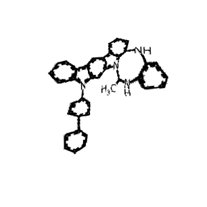 CC1Nc2ccccc2Nc2cccc3c4cc5c6ccccc6n(-c6ccc(-c7ccccc7)cc6)c5cc4n1c23